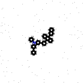 C1=C(c2ccc3c(c2)c2cc(-c4ccccc4)ccc2n3-c2ccccc2)C=C(c2c3ccccc3c(-c3ccc4ccccc4c3)c3ccccc23)CC1